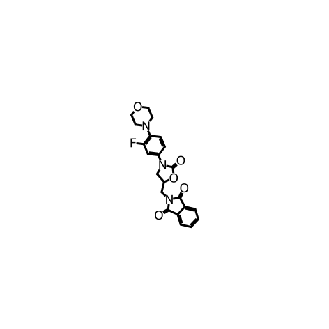 O=C1c2ccccc2C(=O)N1CC1CN(c2ccc(N3CCOCC3)c(F)c2)C(=O)O1